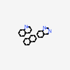 c1ccc2ccccc2c1.c1ccc2ncccc2c1.c1ccc2ncncc2c1